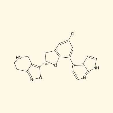 Clc1cc2c(c(-c3ccnc4[nH]ccc34)c1)O[C@H](c1onc3c1CNCC3)C2